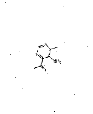 C=C(C)c1ncnc(C)c1N